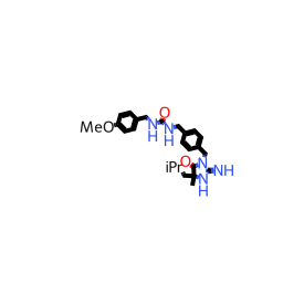 COc1ccc(CNC(=O)NCc2ccc(CN3C(=N)NC(C)(CC(C)C)C3=O)cc2)cc1